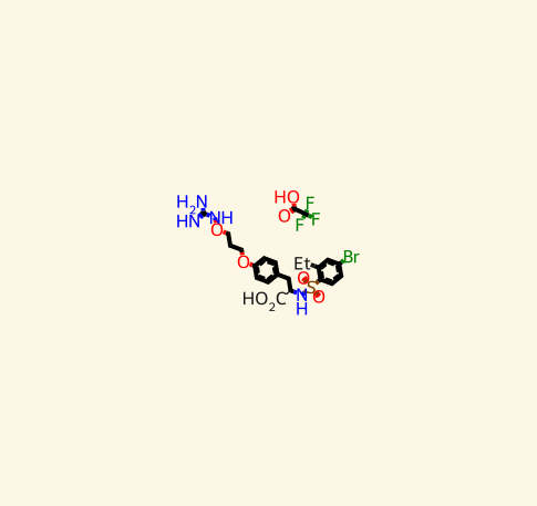 CCc1cc(Br)ccc1S(=O)(=O)N[C@@H](Cc1ccc(OCCCONC(=N)N)cc1)C(=O)O.O=C(O)C(F)(F)F